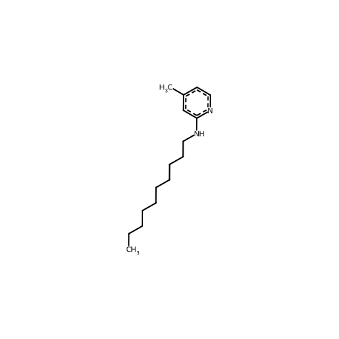 CCCCCCCCCCNc1cc(C)ccn1